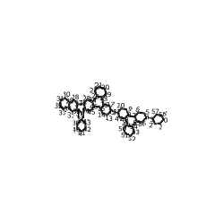 c1ccc(-c2ccc3c4ccc(-c5ccc6c(c5)c5ccccc5c5cc7c8cc9ccccc9cc8n(-c8ccccc8)c7cc65)cc4c4ccccc4c3c2)cc1